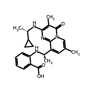 Cc1cc([C@@H](C)Nc2ccccc2C(=O)O)c2nc(N[C@@H](C)C3CC3)c(C)c(=O)n2c1